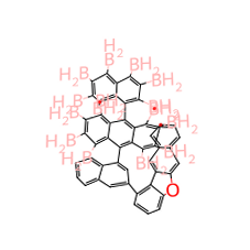 Bc1c(B)c(B)c2c(-c3c4c(B)c(B)c(B)c(B)c4c(-c4cc(-c5cccc6oc7cc8ccccc8cc7c56)cc5ccccc45)c4c(B)c(B)c(B)c(B)c34)c(B)c(B)c(B)c2c1B